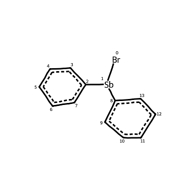 [Br][Sb]([c]1ccccc1)[c]1ccccc1